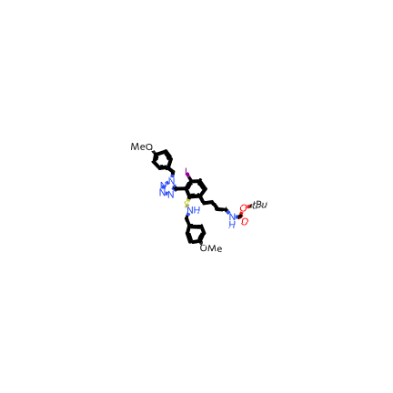 COc1ccc(CNSc2c(CCCCNC(=O)OC(C)(C)C)ccc(I)c2-c2nnnn2Cc2ccc(OC)cc2)cc1